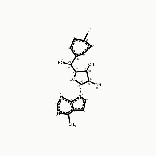 Cc1ncnc2c1ccn2[C@@H]1O[C@@H]([C@@H](O)c2ccc(F)cc2)[C@@H](O)[C@H]1O